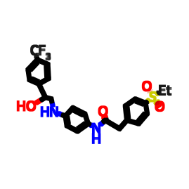 CCS(=O)(=O)c1ccc(CC(=O)Nc2ccc(NCC(O)c3ccc(C(F)(F)F)cc3)cc2)cc1